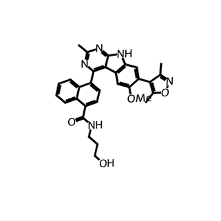 COc1cc2c(cc1-c1c(C)noc1C)[nH]c1nc(C)nc(-c3ccc(C(=O)NCCCO)c4ccccc34)c12